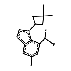 Cc1cc(C(F)F)c2c(c1)ncn2C1CC(C)(C)C1